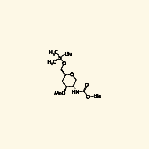 CO[C@H]1C[C@@H](CO[Si](C)(C)C(C)(C)C)OC[C@@H]1NC(=O)OC(C)(C)C